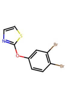 Brc1ccc(Oc2nc[c]s2)cc1Br